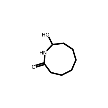 O=C1CCCCCCC(O)N1